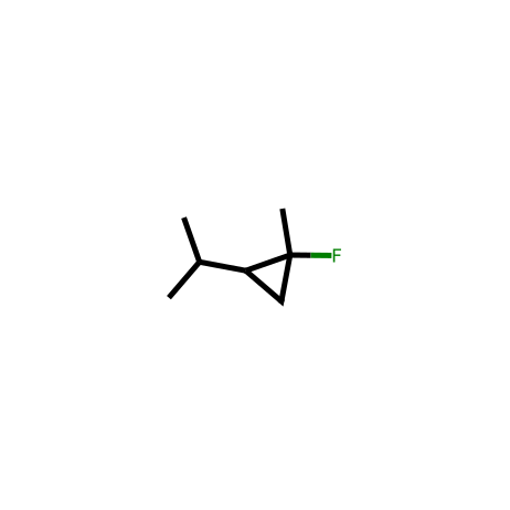 CC(C)C1CC1(C)F